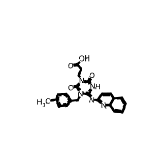 Cc1ccc(Cn2c(=O)n(CCC(=O)O)c(=O)[nH]/c2=N\C2=NC3C=CC=CC3C=C2)cc1